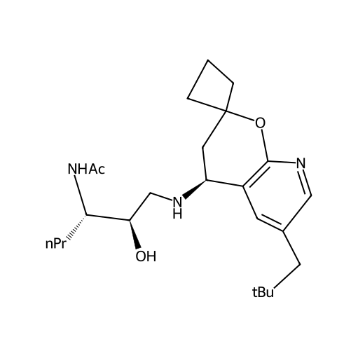 CCC[C@H](NC(C)=O)[C@H](O)CN[C@H]1CC2(CCC2)Oc2ncc(CC(C)(C)C)cc21